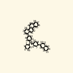 c1ccc(N(c2ccc(-c3ccc4ccccc4c3)cc2)c2ccc(-c3cccc4c3ccc3c5ccccc5ccc43)cc2)cc1